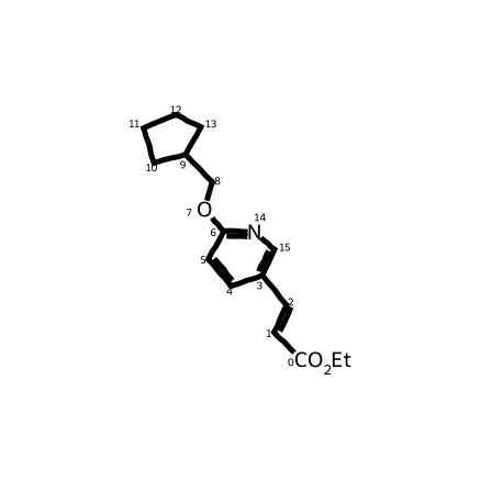 CCOC(=O)C=Cc1ccc(OCC2CCCC2)nc1